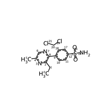 CCc1nc(C)cnc1-c1ccc(S(N)(=O)=O)cc1.ClCCl